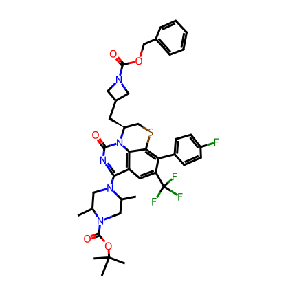 CC1CN(c2nc(=O)n3c4c(c(-c5ccc(F)cc5)c(C(F)(F)F)cc24)SC[C@@H]3CC2CN(C(=O)OCc3ccccc3)C2)C(C)CN1C(=O)OC(C)(C)C